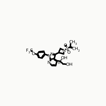 C=C(C)S(=O)(=O)N1CC(c2nn(-c3ccc(OC(F)(F)F)cc3)c3nccc([C@@H](O)CO)c23)C1